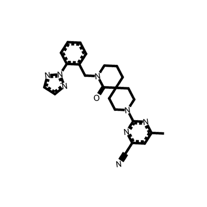 Cc1cc(C#N)nc(N2CCC3(CCCN(Cc4ccccc4-n4nccn4)C3=O)CC2)n1